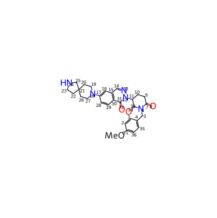 COc1ccc(CN2C(=O)CCC(n3ncc4cc(N5CCC6(CCNC6)CC5)ccc4c3=O)C2=O)cc1